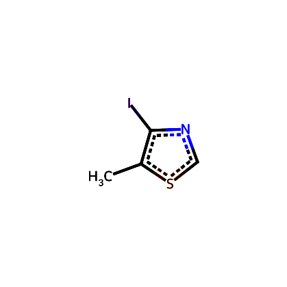 Cc1scnc1I